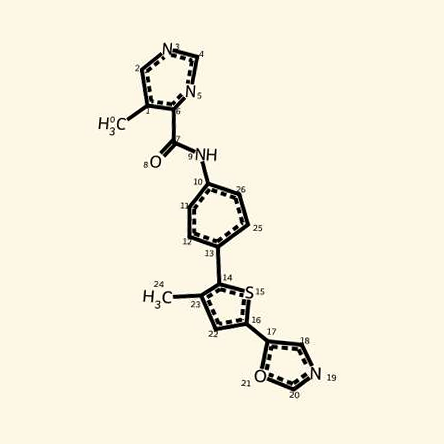 Cc1cncnc1C(=O)Nc1ccc(-c2sc(-c3cnco3)cc2C)cc1